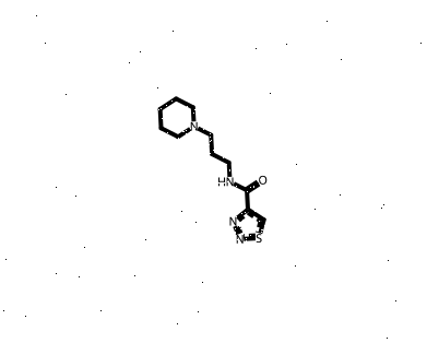 O=C(NCCCN1CCCCC1)c1csnn1